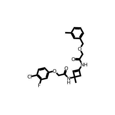 Cc1cccc(COCC(=O)NC2=CC(C)(NC(=O)COc3ccc(Cl)c(F)c3)C2)c1